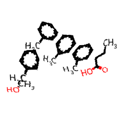 CCCC(=O)O.CO.Cc1ccccc1.Cc1ccccc1.Cc1ccccc1.Cc1ccccc1